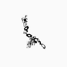 COCCN1CCC(C(=O)NO)(S(=O)(=O)c2ccc(NCc3ccc(OC(F)(F)F)cc3)cc2)CC1